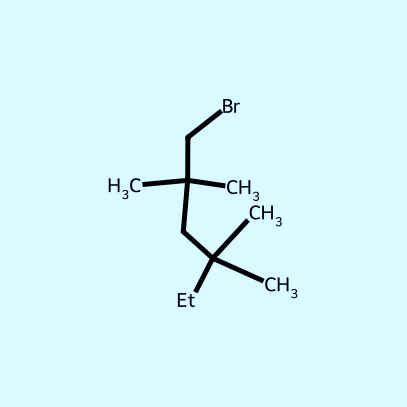 CCC(C)(C)CC(C)(C)CBr